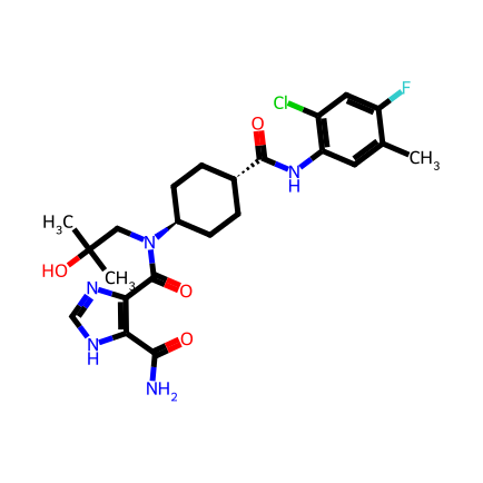 Cc1cc(NC(=O)[C@H]2CC[C@H](N(CC(C)(C)O)C(=O)c3nc[nH]c3C(N)=O)CC2)c(Cl)cc1F